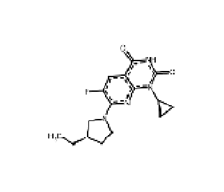 C[CH][C@@H]1CCN(c2nc3c(cc2F)c(=O)[nH]c(=O)n3C2CC2)C1